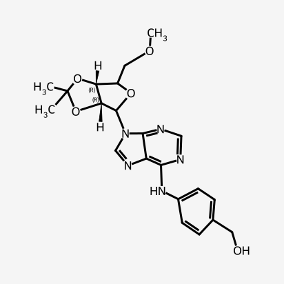 COCC1OC(n2cnc3c(Nc4ccc(CO)cc4)ncnc32)[C@@H]2OC(C)(C)O[C@H]12